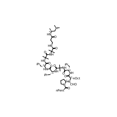 CCCCCCCC[C@@H](C(=O)N[C@@H](CC(C)C)C(=O)NC(C)(C)C(=O)N[C@H](CC(C)C)C(=O)N[C@H](CC(C)C)C(=O)NC(C)(C)C(=O)NC(C)(C)C(=O)NCCC(=O)N[C@@H](C)CN(C)C)N(C=O)[C@@H]1CCCN1C(=O)CCCCC